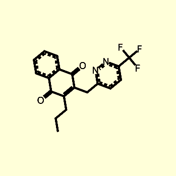 CCCC1=C(Cc2ccc(C(F)(F)F)nn2)C(=O)c2ccccc2C1=O